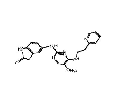 COc1cnc(Nc2ccc3c(c2)CC(=O)N3)nc1NCCc1ccccn1